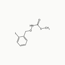 CSC(=O)NOCc1ccccc1I